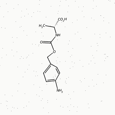 C[C@@H](NC(=O)OCc1ccc(N)cc1)C(=O)O